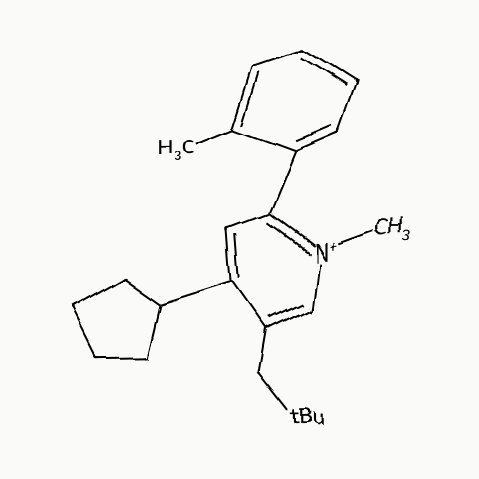 Cc1ccccc1-c1cc(C2CCCC2)c(CC(C)(C)C)c[n+]1C